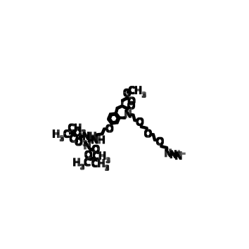 COC(=O)C[C@@H]1Cc2ccc(OCCCN/C(=N\C(=O)OC(C)(C)C)NC(=O)OC(C)(C)C)cc2CN(CCOCCOCCOCCN=[N+]=[N-])C1=O